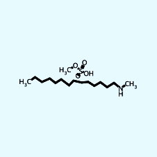 CCCCCCCCCCCCCCNC.COS(=O)(=O)O